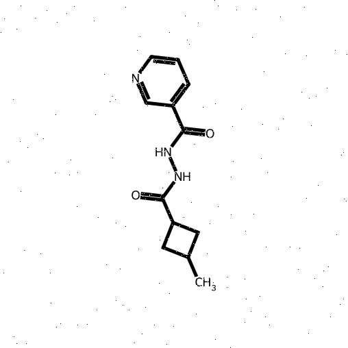 CC1CC(C(=O)NNC(=O)c2cccnc2)C1